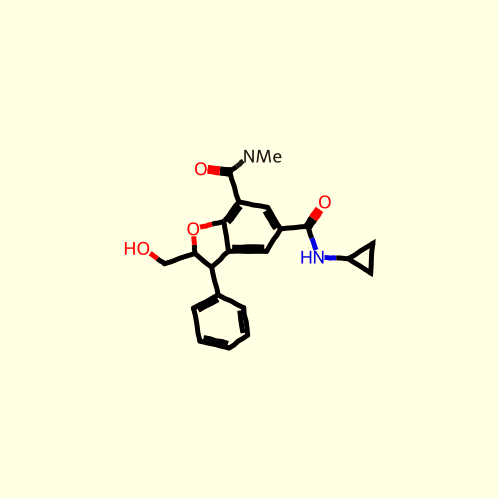 CNC(=O)c1cc(C(=O)NC2CC2)cc2c1OC(CO)C2c1ccccc1